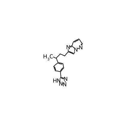 CC(CCc1cn2ncccc2n1)c1ccc(-c2nnn[nH]2)cc1